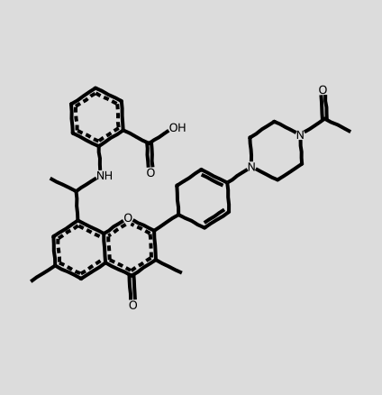 CC(=O)N1CCN(C2=CCC(c3oc4c(C(C)Nc5ccccc5C(=O)O)cc(C)cc4c(=O)c3C)C=C2)CC1